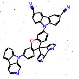 N#Cc1ccc2c(c1)c1cc(C#N)ccc1n2-c1ccc2c(c1)Oc1cc(-n3c4ccccc4c4ccncc43)ccc1C21c2cccnc2-c2ncccc21